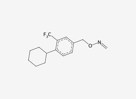 C=NOCc1ccc(C2CCCCC2)c(C(F)(F)F)c1